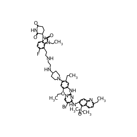 CCOc1cc(N2CCC(NCCNCCc3c(F)ccc4c3n(CC)c(=O)n4C3CCC(=O)NC3=O)CC2)c(CC)cc1Nc1ncc(Br)c(Nc2ccc3nc(CC)ccc3c2P(C)(C)=O)n1